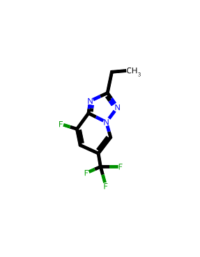 CCc1nc2c(F)cc(C(F)(F)F)cn2n1